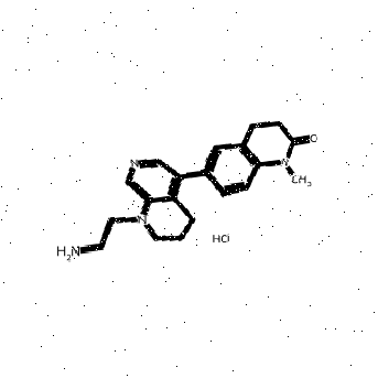 CN1C(=O)CCc2cc(-c3cncc4c3CCCN4CCN)ccc21.Cl